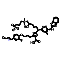 Cc1cc(N(CCCC(O)C[N+](C)(C)CCCS(=O)(=O)[O-])c2nc(C(=O)O)c(CCCOc3ccc(/C=C/C=O)cc3F)s2)nnc1Nc1nc2ccccc2s1